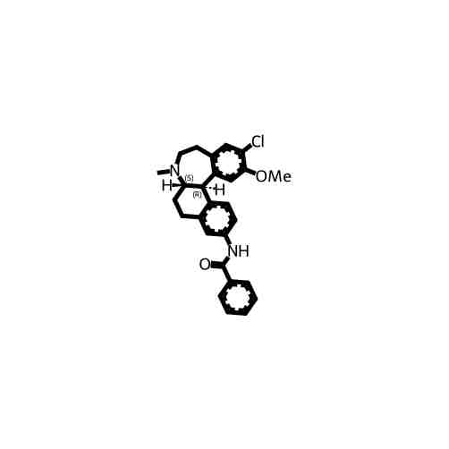 COc1cc2c(cc1Cl)CCN(C)[C@H]1CCc3cc(NC(=O)c4ccccc4)ccc3[C@H]21